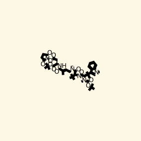 C/C(=C\CN(C)C(=O)C(NC(=O)[C@@H](N(C)C(=O)OC(C)(C)C)C(C)(C)c1cn(C)c2ccccc12)C(C)(C)C)C(=O)N[C@H](CC(=O)ON1C(=O)CCC1=O)C(=O)OC(C)(C)C